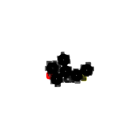 N#Cc1c(-c2ccccc2)cc(-c2ccc3sc4ccccc4c3c2)c(C#N)c1-c1cccc2oc3ccccc3c12